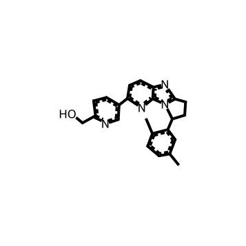 Cc1ccc(C)c(C2CCc3nc4ccc(-c5ccc(CO)nc5)nc4n32)c1